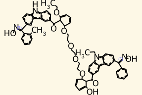 CCOC1=CC=CC(OCCOCCOCCOC2C=CC=C(O)C2C(=O)c2ccc3c(c2)c2cc(/C(=N/O)c4ccccc4)ccc2n3CC)C1C(=O)c1ccc2[nH]c3ccc(/C(=N/O)c4ccccc4C)cc3c2c1